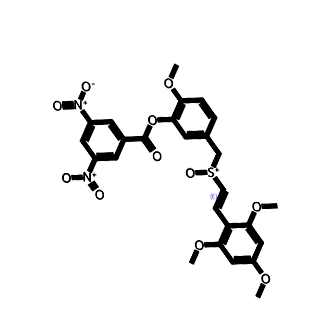 COc1cc(OC)c(/C=C/[S+]([O-])Cc2ccc(OC)c(OC(=O)c3cc([N+](=O)[O-])cc([N+](=O)[O-])c3)c2)c(OC)c1